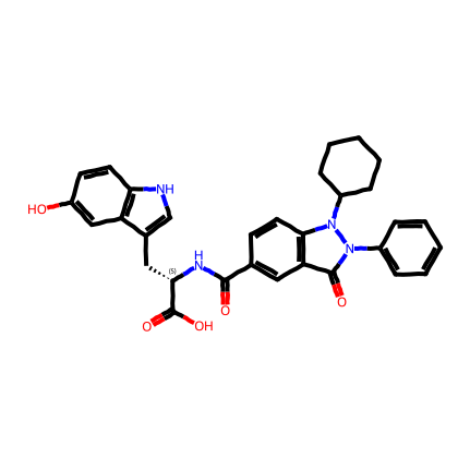 O=C(N[C@@H](Cc1c[nH]c2ccc(O)cc12)C(=O)O)c1ccc2c(c1)c(=O)n(-c1ccccc1)n2C1CCCCC1